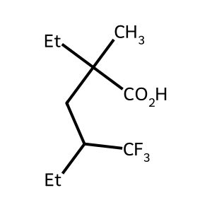 CCC(CC(C)(CC)C(=O)O)C(F)(F)F